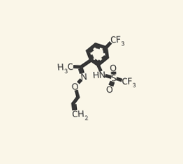 C=CCON=C(C)c1ccc(C(F)(F)F)cc1NS(=O)(=O)C(F)(F)F